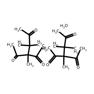 CC(=O)C(C)(C)C(C)(C(C)=O)C(C)=O.CC(=O)C(C)(C)C(C)(C(C)=O)C(C)=O.O